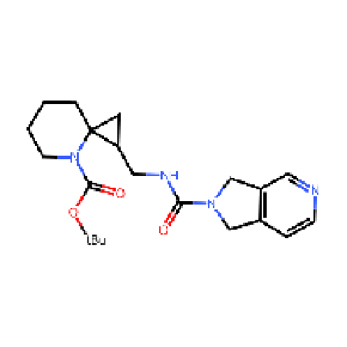 CC(C)(C)OC(=O)N1CCCCC12CC2CNC(=O)N1Cc2ccncc2C1